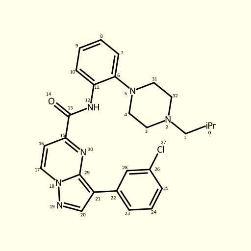 CC(C)CN1CCN(c2ccccc2NC(=O)c2ccn3ncc(-c4cccc(Cl)c4)c3n2)CC1